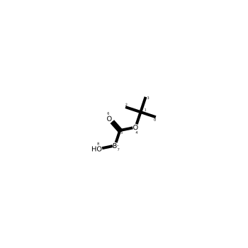 CC(C)(C)OC(=O)[B]O